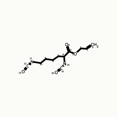 C=CCOC(=O)C(CCCCN=C=O)N=C=O